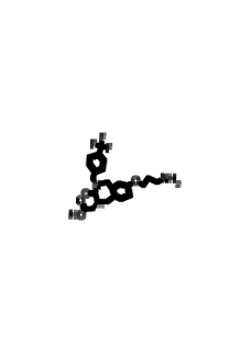 NCCCOc1ccc2c(c1)CN(Cc1ccc(C(F)(F)F)cc1)C(=O)[C@H](CC(=O)O)C2